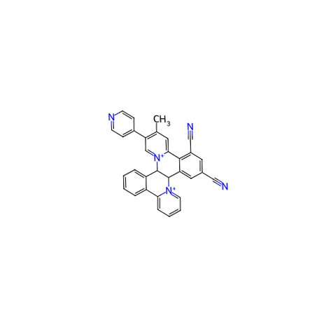 Cc1cc2[n+](cc1-c1ccncc1)C1c3ccccc3-c3cccc[n+]3C1c1cc(C#N)cc(C#N)c1-2